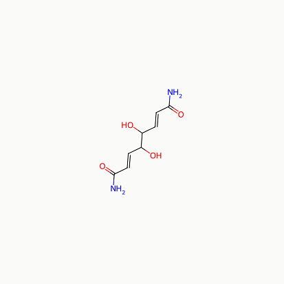 NC(=O)C=CC(O)C(O)C=CC(N)=O